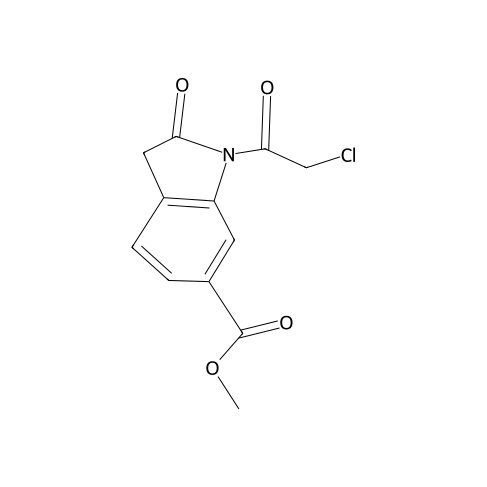 COC(=O)c1ccc2c(c1)N(C(=O)CCl)C(=O)C2